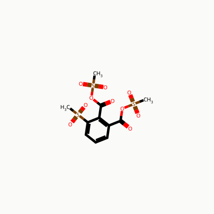 CS(=O)(=O)OC(=O)c1cccc(S(C)(=O)=O)c1C(=O)OS(C)(=O)=O